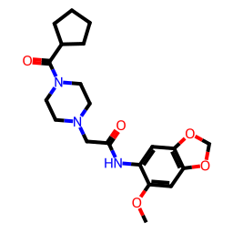 COc1cc2c(cc1NC(=O)CN1CCN(C(=O)C3CCCC3)CC1)OCO2